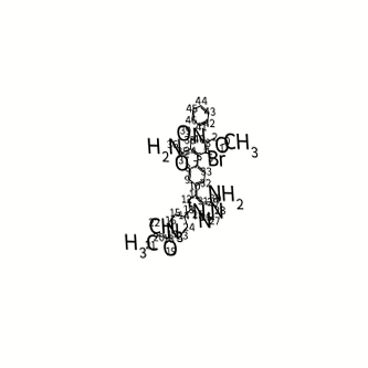 COCc1c(Br)c(-c2ccc(-c3cc(C4CCN(C(=O)C(C)C)CC4)n4ncnc(N)c34)cc2)c(C(N)=O)c(=O)n1-c1ccccc1